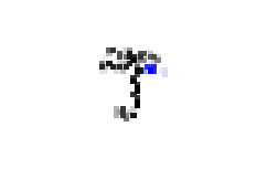 C=CCCCC(N)[Si](OC)(OC)OC